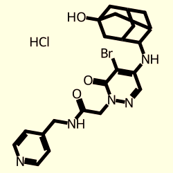 Cl.O=C(Cn1ncc(NC2C3CC4CC2CC(O)(C4)C3)c(Br)c1=O)NCc1ccncc1